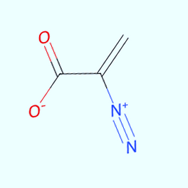 C=C([N+]#N)C(=O)[O-]